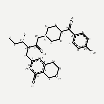 CC[C@H](C)N(Cc1nc2c(c(=O)[nH]1)COCC2)C(=O)CN1CCC(C(=O)c2ccc(F)cc2)CC1